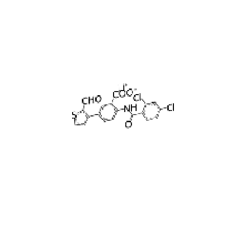 O=Cc1sccc1-c1ccc(NC(=O)c2ccc(Cl)cc2Cl)c(C(=O)[O-])c1.[Li+]